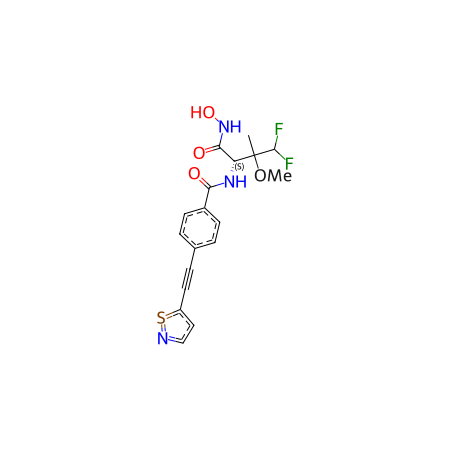 COC(C)(C(F)F)[C@H](NC(=O)c1ccc(C#Cc2ccns2)cc1)C(=O)NO